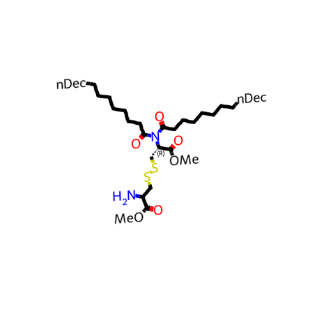 CCCCCCCCCCCCCCCCCC(=O)N(C(=O)CCCCCCCCCCCCCCCCC)[C@@H](CSSCC(N)C(=O)OC)C(=O)OC